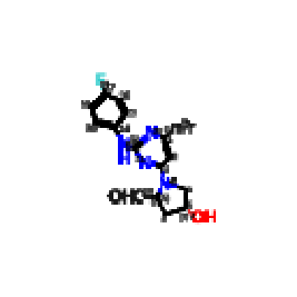 CCCc1cc(N2C[C@H](O)C[C@H]2[C]=O)nc(Nc2ccc(F)cc2)n1